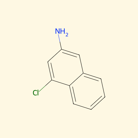 Nc1cc(Cl)c2ccccc2c1